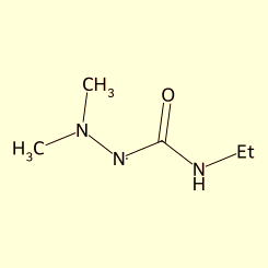 CCNC(=O)[N]N(C)C